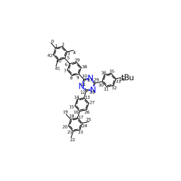 Cc1cc(C)c(-c2ccc(-c3nc(-c4ccc(-c5c(C)cc(C)cc5C)cc4)nc(-c4ccc(C(C)(C)C)cc4)n3)cc2)c(C)c1